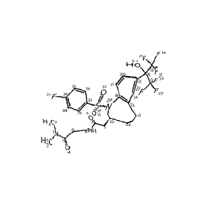 CN(C)C(=O)CNC(=O)C[C@@H]1CCc2cc(C(O)(C(F)(F)F)C(F)(F)F)ccc2N1S(=O)(=O)c1ccc(F)cc1